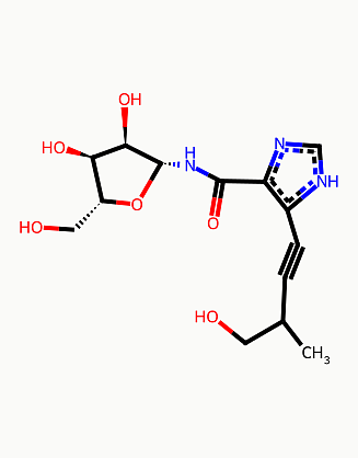 CC(C#Cc1[nH]cnc1C(=O)N[C@@H]1O[C@H](CO)[C@@H](O)[C@H]1O)CO